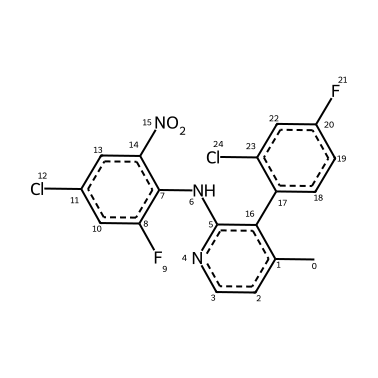 Cc1ccnc(Nc2c(F)cc(Cl)cc2[N+](=O)[O-])c1-c1ccc(F)cc1Cl